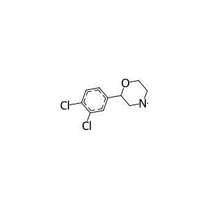 Clc1ccc(C2C[N]CCO2)cc1Cl